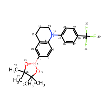 CC1(C)OB(c2ccc3c(c2)CCCN3c2ccc(C(F)(F)F)cc2)OC1(C)C